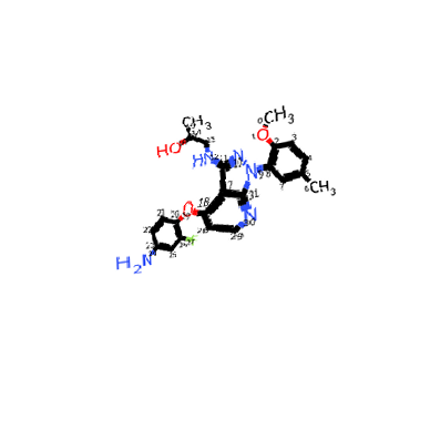 COc1ccc(C)cc1-n1nc(NC[C@H](C)O)c2c(Oc3ccc(N)cc3F)ccnc21